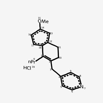 CCCC1=C(Cc2ccncc2)CCc2cc(OC)ccc21.Cl